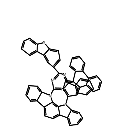 c1ccc(-c2nc(-c3ccc4sc5ccccc5c4c3)nc(-n3c4ccccc4c4ccc5c6ccccc6n(-c6ccc7c8ccccc8c8ccccc8c7c6)c5c43)n2)cc1